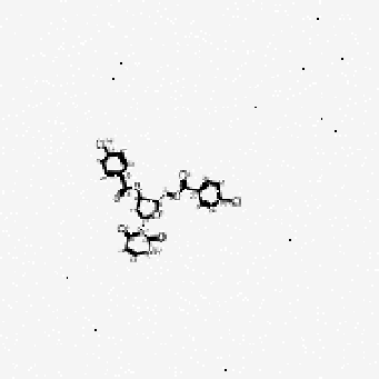 O=C(OC[C@@H]1O[C@H](n2c(=O)cc[nH]c2=O)CC1OC(=O)c1ccc(Cl)cc1)c1ccc(Cl)cc1